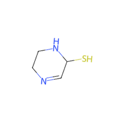 SC1C=NCCN1